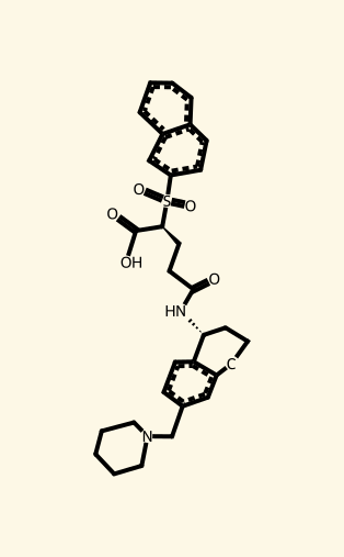 O=C(CC[C@@H](C(=O)O)S(=O)(=O)c1ccc2ccccc2c1)N[C@@H]1CCCc2cc(CN3CCCCC3)ccc21